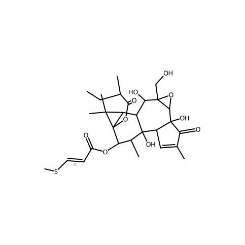 CCC(C)C(=O)OC12C(OC(=O)/C=C/SC)C(C)C3(O)C(C(O)C4(CO)OC4C4(O)C(=O)C(C)=CC43)C1C2(C)C